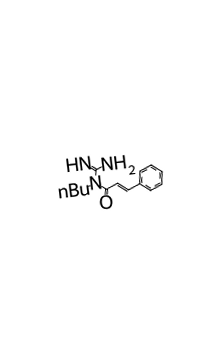 CCCCN(C(=N)N)C(=O)C=Cc1ccccc1